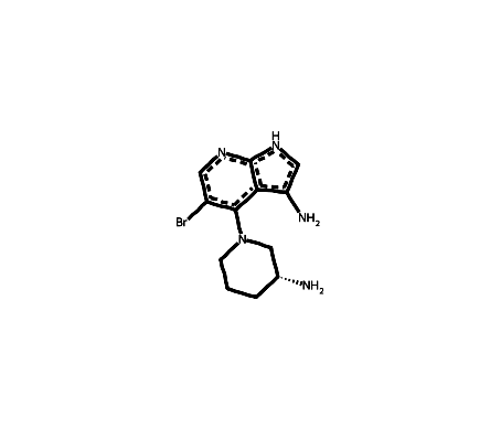 Nc1c[nH]c2ncc(Br)c(N3CCC[C@@H](N)C3)c12